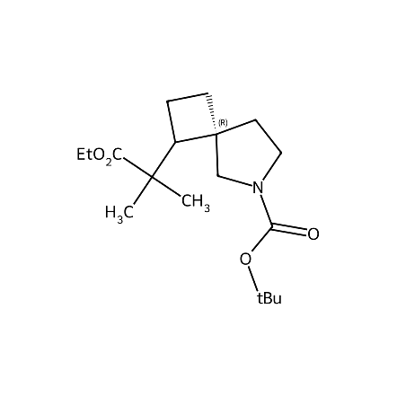 CCOC(=O)C(C)(C)C1CC[C@@]12CCN(C(=O)OC(C)(C)C)C2